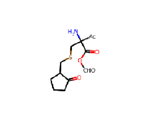 CC(=O)C(N)(CSCC1CCCC1=O)C(=O)OC=O